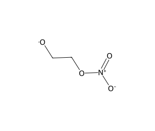 [O]CCO[N+](=O)[O-]